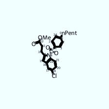 CCCCCc1ccc(S(=O)(=O)n2c(CCC(=O)OC)cc3cc(Cl)ccc32)cc1